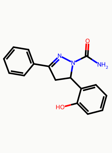 NC(=O)N1N=C(c2ccccc2)CC1c1ccccc1O